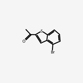 CC(=O)c1cc2c(Br)cccc2s1